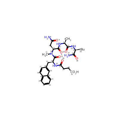 C[C@H](NC(=O)[C@H](CC(N)=O)N(C)C(=O)[C@H](Cc1ccc2ccccc2c1)NC(=O)CCC(=O)O)C(=O)N[C@H](C(N)=O)C(C)(C)C